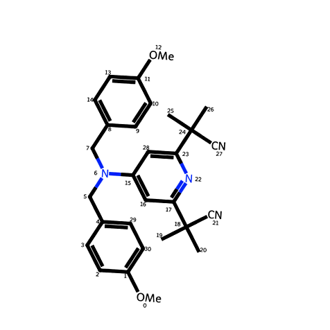 COc1ccc(CN(Cc2ccc(OC)cc2)c2cc(C(C)(C)C#N)nc(C(C)(C)C#N)c2)cc1